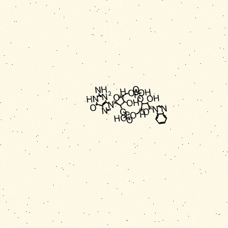 Nc1nc2c(ncn2[C@@H]2O[C@@H]3COP(=O)(O)OC4C(O)[C@H](n5cnc6ccccc65)O[C@@H]4COP(=O)(O)OC2C3O)c(=O)[nH]1